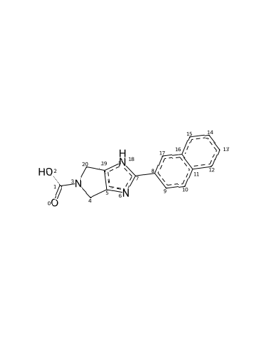 O=C(O)N1Cc2nc(-c3ccc4ccccc4c3)[nH]c2C1